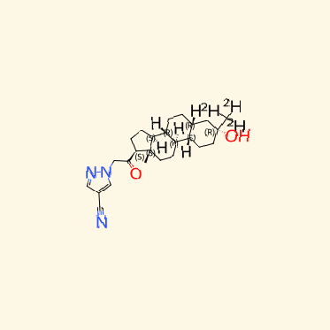 [2H]C([2H])([2H])[C@@]1(O)CC[C@H]2[C@H](CC[C@@H]3[C@@H]2CC[C@]2(C)[C@@H](C(=O)Cn4cc(C#N)cn4)CC[C@@H]32)C1